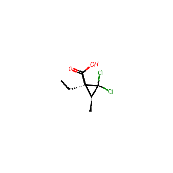 CC[C@@]1(C(=O)O)[C@H](C)C1(Cl)Cl